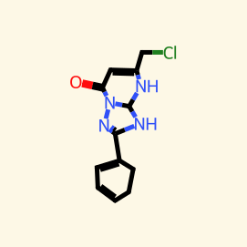 O=C1C=C(CCl)NC2NC(C3=CC=CCC3)=NN12